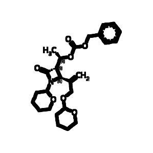 C=C(COC1CCCCO1)[C@@H]1[C@@H]([C@@H](C)OC(=O)OCc2ccccc2)C(=O)N1C1CCCCO1